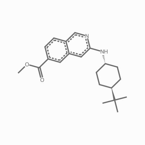 COC(=O)c1ccc2cnc(N[C@H]3CC[C@H](C(C)(C)C)CC3)cc2c1